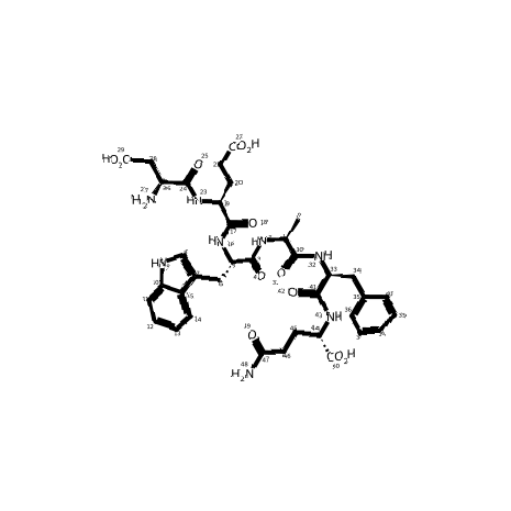 C[C@H](NC(=O)[C@H](Cc1c[nH]c2ccccc12)NC(=O)[C@H](CCC(=O)O)NC(=O)[C@@H](N)CC(=O)O)C(=O)N[C@@H](Cc1ccccc1)C(=O)N[C@@H](CCC(N)=O)C(=O)O